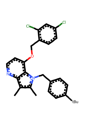 Cc1c(C)n(Cc2ccc(C(C)(C)C)cc2)c2c(OCc3ccc(Cl)cc3Cl)ccnc12